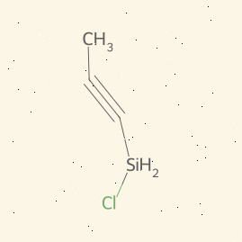 CC#C[SiH2]Cl